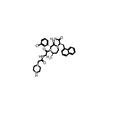 C[C@@H]1CCN([C@H](Cc2cccc3ccccc23)C(N)=O)C(=O)[C@@H](c2cccc(Cl)c2)N1C(=O)CNC(=O)CN1CCNCC1